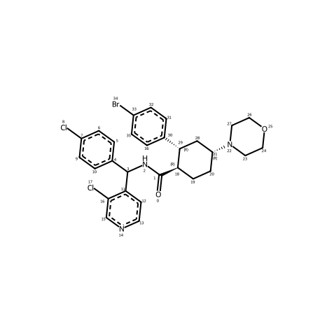 O=C(NC(c1ccc(Cl)cc1)c1ccncc1Cl)[C@@H]1CC[C@@H](N2CCOCC2)C[C@H]1c1ccc(Br)cc1